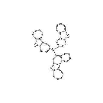 c1ccc2c(c1)sc1ccc(N(c3ccc4sc5ccccc5c4c3)c3cc4sc5ccccc5c4c4ccccc34)cc12